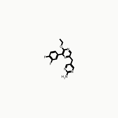 CCOc1ncc(Cc2cnc(N)nc2)nc1-c1ccc(F)c(F)c1